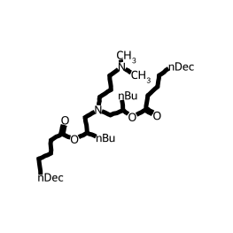 CCCCCCCCCCCCCC(=O)OC(CCCC)CN(CCCN(C)C)CC(CCCC)OC(=O)CCCCCCCCCCCCC